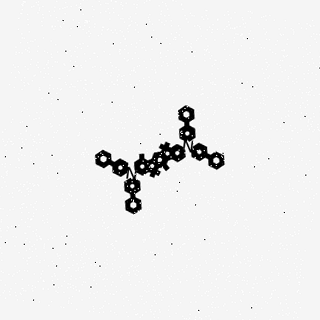 Cc1cc(N(c2ccc(C3CCCCC3)cc2)c2ccc(C3CCCCC3)cc2)cc2c1-c1cc3c(c(C)c1C2(C)C)-c1ccc(N(c2ccc(C4CCCCC4)cc2)c2ccc(C4CCCCC4)cc2)cc1C3(C)C